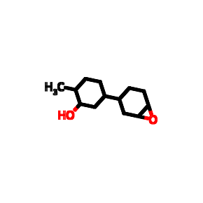 CC1CCC(C2CCC3OC3C2)CC1O